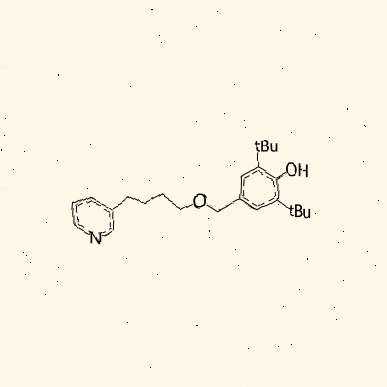 CC(C)(C)c1cc(COCCCCc2cccnc2)cc(C(C)(C)C)c1O